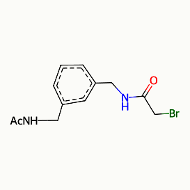 CC(=O)NCc1cccc(CNC(=O)CBr)c1